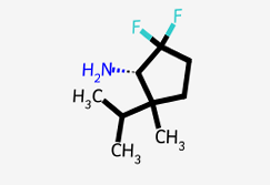 CC(C)C1(C)CCC(F)(F)[C@H]1N